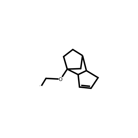 [CH2]COC12CCC(C1)C1CC=CC12